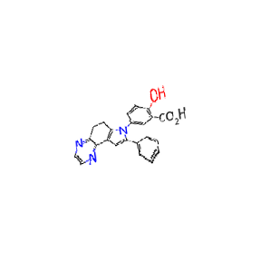 O=C(O)c1cc(-n2c(-c3ccccc3)cc3c2CCc2nccnc2-3)ccc1O